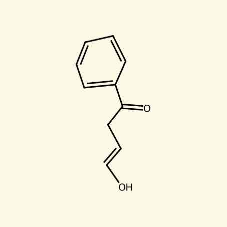 O=C(CC=CO)c1ccccc1